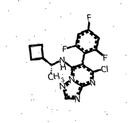 C[C@@H](Nc1c(-c2c(F)cc(F)cc2F)c(Cl)nc2ncnn12)C1CCC1